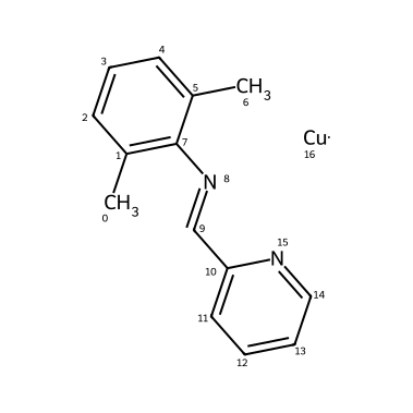 Cc1cccc(C)c1N=Cc1ccccn1.[Cu]